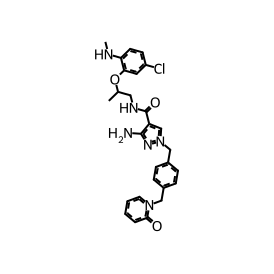 CNc1ccc(Cl)cc1OC(C)CNC(=O)c1cn(Cc2ccc(Cn3ccccc3=O)cc2)nc1N